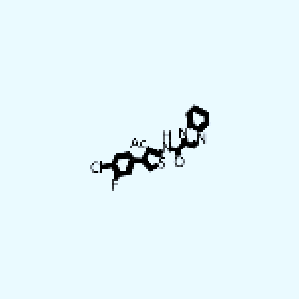 CC(=O)c1c(-c2ccc(Cl)c(F)c2)csc1NC(=O)c1cnc2ccccc2n1